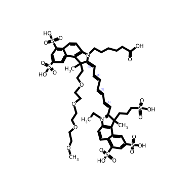 CC[N+]1=C(/C=C/C=C/C=C/C=C2/N(CCCCCC(=O)O)c3ccc4c(S(=O)(=O)O)cc(S(=O)(=O)O)cc4c3C2(C)CCOCCOCCOCCOC)C(C)(CCCS(=O)(=O)O)c2c1ccc1c(S(=O)(=O)O)cc(S(=O)(=O)O)cc21